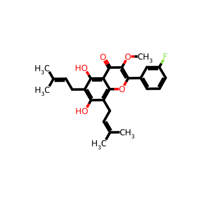 COc1c(-c2cccc(F)c2)oc2c(CC=C(C)C)c(O)c(CC=C(C)C)c(O)c2c1=O